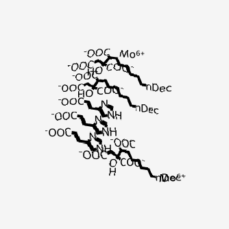 CCCCCCCCCCCCCCCCC(C(=O)[O-])C(O)(CC(=O)[O-])C(=O)[O-].CCCCCCCCCCCCCCCCC(C(=O)[O-])C(O)(CC(=O)[O-])C(=O)[O-].CCCCCCCCCCCCCCCCC(C(=O)[O-])C(O)(CC(=O)[O-])C(=O)[O-].O=C([O-])C=Cc1c[nH]cn1.O=C([O-])C=Cc1c[nH]cn1.O=C([O-])C=Cc1c[nH]cn1.[Mo+6].[Mo+6]